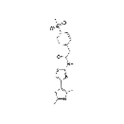 Cc1nc(C)c(-c2csc(NC(=O)Cc3ccc(S(C)(=O)=O)cc3)n2)s1